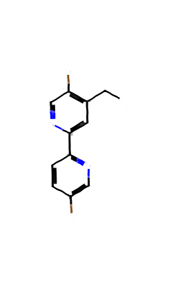 CCc1cc(-c2ccc(Br)cn2)ncc1Br